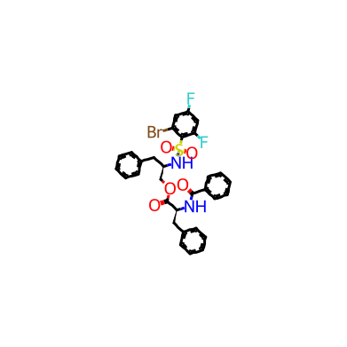 O=C(N[C@@H](Cc1ccccc1)C(=O)OC[C@@H](Cc1ccccc1)NS(=O)(=O)c1c(F)cc(F)cc1Br)c1ccccc1